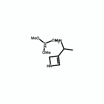 CC(N)C1=CNC1.CO[SiH](OC)OC